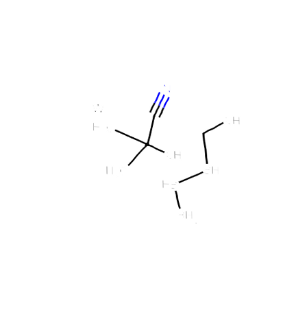 BBBCC.CC(C)(C)C#N.[W]